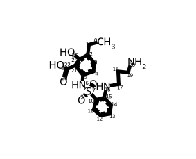 CCc1ccc(NS(=O)(=O)c2ccccc2NCCCN)c(C(=O)O)c1O